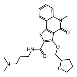 CN(C)CCCNC(=O)c1sc2c(c1OCC1CCCO1)c(=O)n(C)c1ccccc21